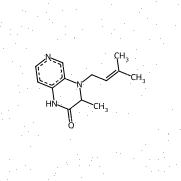 CC(C)=CCN1c2cnccc2NC(=O)C1C